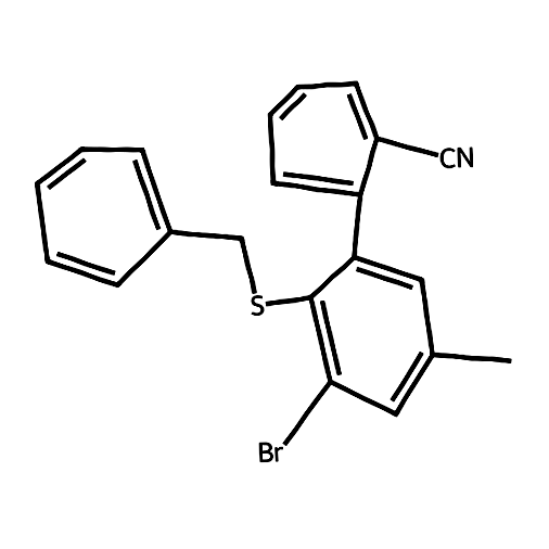 Cc1cc(Br)c(SCc2ccccc2)c(-c2ccccc2C#N)c1